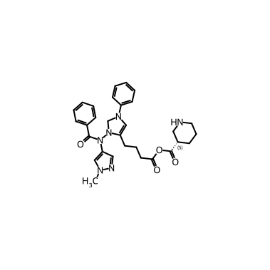 Cn1cc(N(C(=O)c2ccccc2)N2CN(c3ccccc3)C=C2CCCC(=O)OC(=O)[C@H]2CCCNC2)cn1